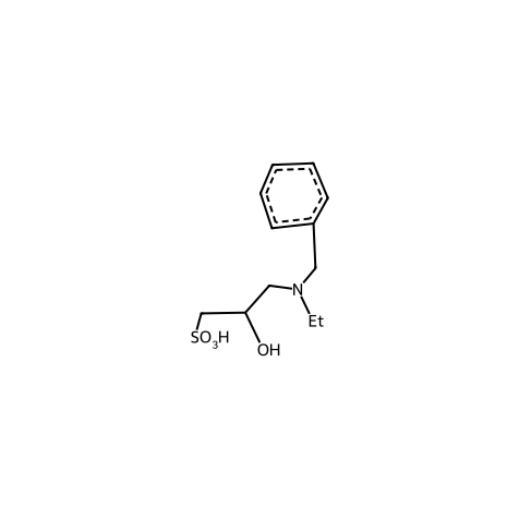 CCN(Cc1ccccc1)CC(O)CS(=O)(=O)O